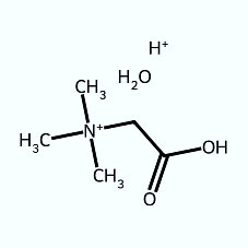 C[N+](C)(C)CC(=O)O.O.[H+]